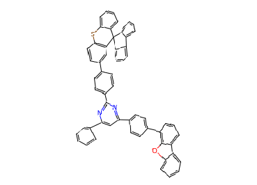 c1ccc(-c2cc(-c3ccc(-c4cccc5c4oc4ccccc45)cc3)nc(-c3ccc(-c4ccc5c(c4)C4(c6ccccc6S5)c5ccccc5-c5ccccc54)cc3)n2)cc1